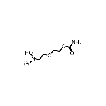 CC(C)N(O)CCOCCOC(N)=O